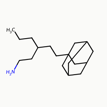 CCCC(CCN)CCC12CC3CC(CC(C3)C1)C2